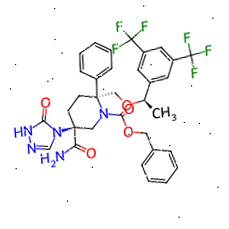 C[C@@H](OC[C@@]1(c2ccccc2)CC[C@](C(N)=O)(n2cn[nH]c2=O)CN1C(=O)OCc1ccccc1)c1cc(C(F)(F)F)cc(C(F)(F)F)c1